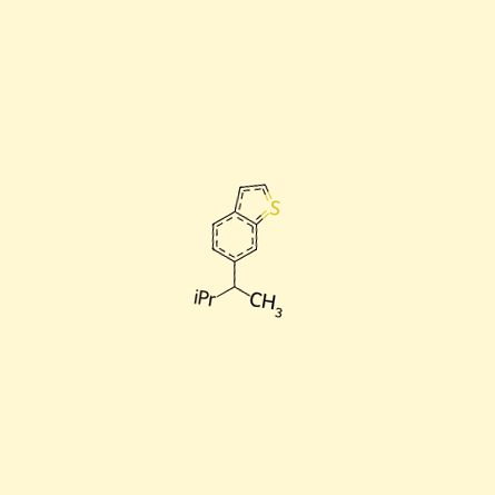 CC(C)C(C)c1ccc2ccsc2c1